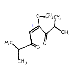 CO/C(=C/C(=O)C(C)C)C(=O)C(C)C